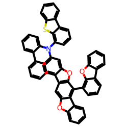 c1ccc(-c2ccccc2N(c2ccc3c(c2)oc2c(-c4cccc5c4oc4ccccc45)c4c(cc23)oc2ccccc24)c2cccc3c2sc2ccccc23)cc1